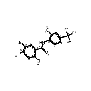 Cc1cc(C(F)(F)F)ccc1NC(=O)c1cc(Br)c(F)cc1Cl